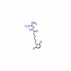 C/C(N)=N/NC(=O)CCCCCN1C(=O)C=CC1=O